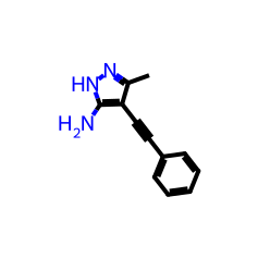 Cc1n[nH]c(N)c1C#Cc1ccccc1